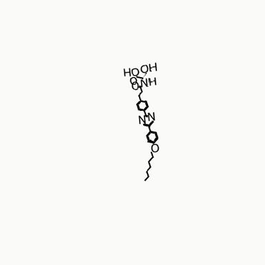 CCCCCCCOc1ccc(-c2cnc(-c3ccc(CCC(=O)N[C@@H](CO)C(=O)O)cc3)nc2)cc1